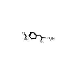 CCOC(=O)C(CC)Cc1ccc([N+](=O)O)cc1